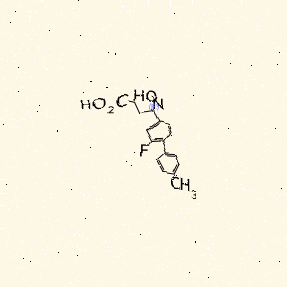 Cc1ccc(-c2ccc(/C(CCC(=O)O)=N/O)cc2F)cc1